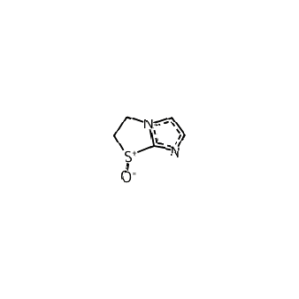 [O-][S+]1CCn2ccnc21